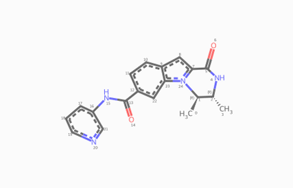 C[C@@H]1[C@@H](C)NC(=O)c2cc3ccc(C(=O)Nc4cccnc4)cc3n21